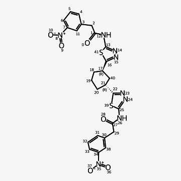 O=C(Cc1cccc([N+](=O)[O-])c1)Nc1nnc([C@@H]2CCC[C@@H](c3nnc(NC(=O)Cc4cccc([N+](=O)[O-])c4)s3)C2)s1